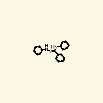 c1ccc(NN=C(Nc2ccccc2)c2ccccc2)cc1